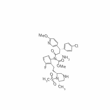 COC(=O)N(C(=O)[C@@H](N)[C@@H](c1ccc(Cl)cc1)c1ccc(OC)nc1)c1cccc(F)c1CC[C@H]1CNC[C@H](C)N1S(C)(=O)=O